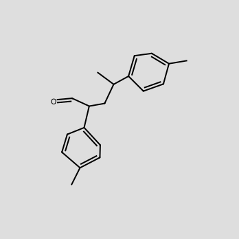 Cc1ccc(C(C)CC(C=O)c2ccc(C)cc2)cc1